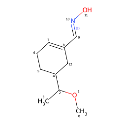 COC(C)C1CCC=C(/C=N/O)C1